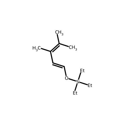 CC[Si](CC)(CC)OC=CC(C)=C(C)C